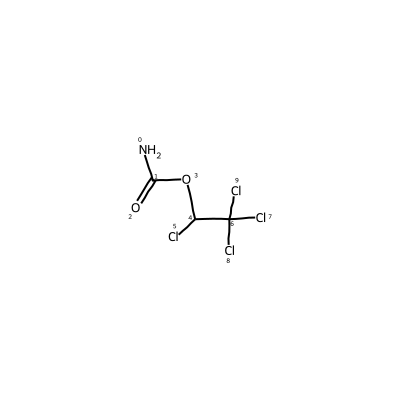 NC(=O)OC(Cl)C(Cl)(Cl)Cl